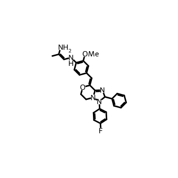 COc1cc(/C=C2\OCCN3C2=NC(c2ccccc2)N3c2ccc(F)cc2)ccc1N/C=C(/C)N